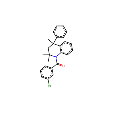 CC1(c2ccccc2)CC(C)(C)N(C(=O)c2cccc(Br)c2)c2ccccc21